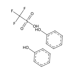 O=S(=O)(O)C(F)(F)F.Oc1ccccc1.Oc1ccccc1